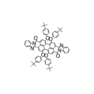 CC(C)(C)c1ccc(Oc2cc3c(=O)n4c5ccccc5nc4c4cc(Oc5ccc(C(C)(C)C)cc5)c5c6c(Oc7ccc(C(C)(C)C)cc7)cc7c(=O)n8c9ccccc9nc8c8cc(Oc9ccc(C(C)(C)C)cc9)c(c2c5c34)c6c78)cc1